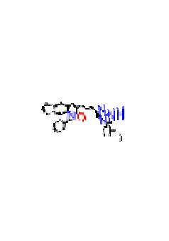 Cc1c[nH]c2nc(CCCc3cc4cc5c(cc4n(CC4CCCCC4)c3=O)CCC5)cn12